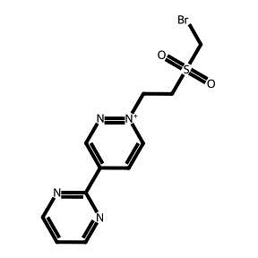 O=S(=O)(CBr)CC[n+]1ccc(-c2ncccn2)cn1